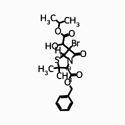 CC(C)OC(=O)C(O)C1(Br)C(=O)N2[C@@H](C(=O)OCc3ccccc3)C(C)(C)S[C@@H]21